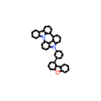 c1cc(-c2cccc3oc4ccccc4c23)cc(-n2c3cccc4c5cccc6c7ccccc7n(c7cccc2c7c43)c56)c1